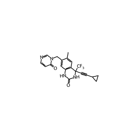 Cc1cc2c(cc1Cn1cnccc1=O)NC(=O)NC2(C#CC1CC1)C(F)(F)F